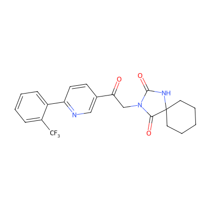 O=C(CN1C(=O)NC2(CCCCC2)C1=O)c1ccc(-c2ccccc2C(F)(F)F)nc1